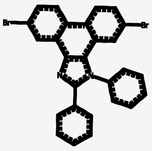 Brc1ccc2c3ccc(Br)cc3c3c(nc(-c4ccccc4)n3-c3ccccc3)c2c1